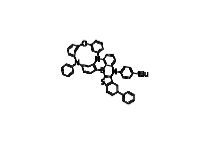 CC(C)(C)c1ccc(N2c3cccc4c3B(c3ccc5cc3N4c3cccc(c3)Oc3cccc(c3)N5c3ccccc3)c3sc4ccc(-c5ccccc5)cc4c32)cc1